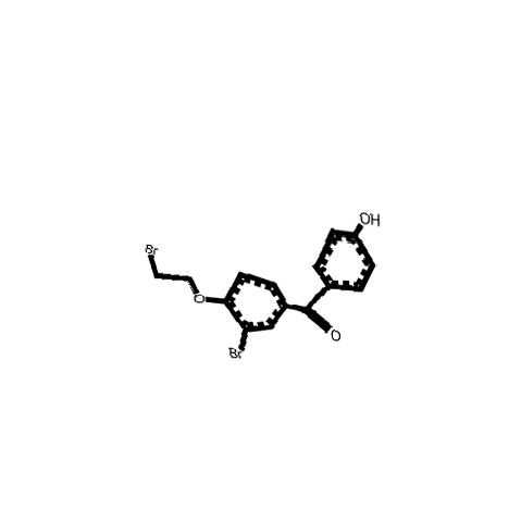 O=C(c1ccc(O)cc1)c1ccc(OCCBr)c(Br)c1